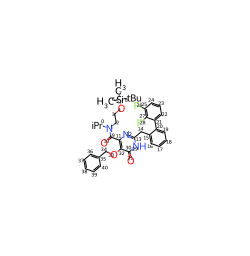 CC(C)N(CCO[Si](C)(C)C(C)(C)C)C(=O)c1nc(Cc2ccccc2-c2cccc(F)c2F)[nH]c(=O)c1OCc1ccccc1